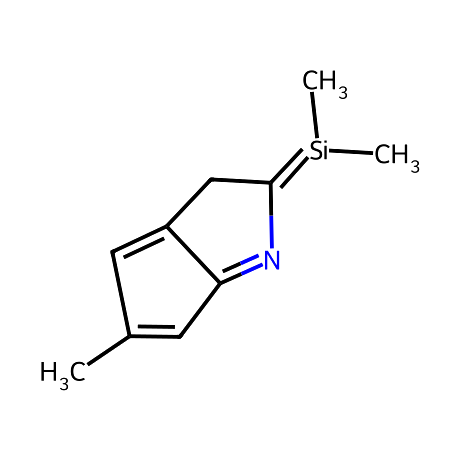 CC1=CC2=NC(=[Si](C)C)CC2=C1